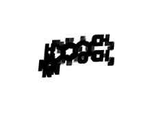 CC(=O)C(C)Cc1ccc(-c2nnn[nH]2)c(F)c1